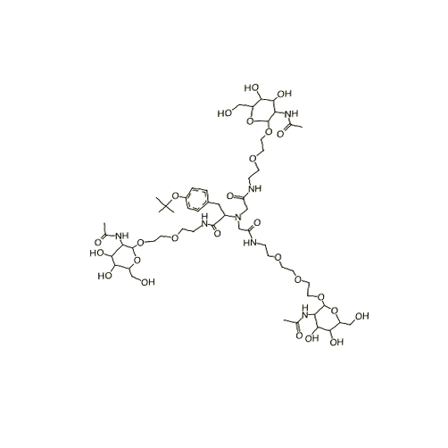 CC(=O)NC1C(OCCOCCNC(=O)CN(CC(=O)NCCOCCOCCOC2OC(CO)C(O)C(O)C2NC(C)=O)C(Cc2ccc(OC(C)(C)C)cc2)C(=O)NCCOCCOC2OC(CO)C(O)C(O)C2NC(C)=O)OC(CO)C(O)C1O